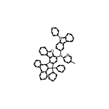 Cc1ccc(N(c2ccc3c(c2)c2ccccc2n3-c2ccccc2)c2cc3c(c4c2oc2ccccc24)-c2c(c4ccccc4c4ccccc24)C3(c2ccccc2)c2ccccc2)nc1